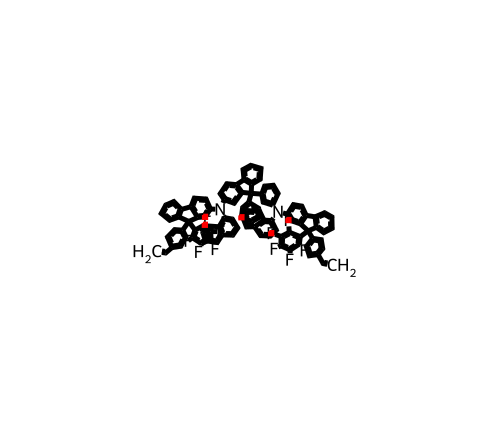 C=Cc1ccc(C2(c3c(F)c(F)c(F)c(F)c3F)c3ccccc3-c3ccc(N(c4cccc(C5(c6ccccc6)c6ccccc6-c6ccc(N(c7ccc8c(c7)C(c7ccc(C=C)cc7)(c7c(F)c(F)c(F)c(F)c7F)c7ccccc7-8)c7cccc8ccccc78)cc65)c4)c4cccc5ccccc45)cc32)cc1